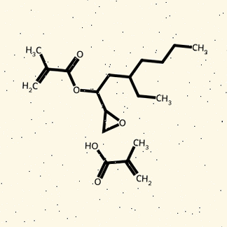 C=C(C)C(=O)O.C=C(C)C(=O)OC(CC(CC)CCCC)C1CO1